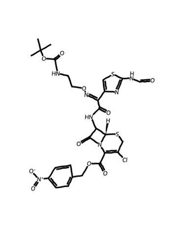 CC(C)(C)OC(=O)NCCON=C(C(=O)NC1C(=O)N2C(C(=O)OCc3ccc([N+](=O)[O-])cc3)=C(Cl)CS[C@@H]12)c1csc(NC=O)n1